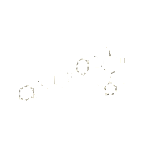 Cc1csc(C)c1C(=O)N[C@@H](Cc1ccc(N2CCC(CNc3ccccn3)CC2)cc1)C(=O)O